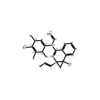 CC=C[C@]12CC1(CC)c1ccccc1C(N(C=N)C1=CC(C)C(CC)=C(C)C1C)=N2